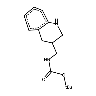 CC(C)(C)OC(=O)NCC1CNc2ccccc2C1